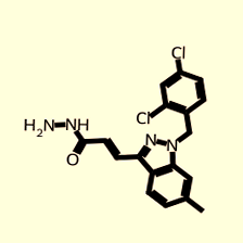 Cc1ccc2c(C=CC(=O)NN)nn(Cc3ccc(Cl)cc3Cl)c2c1